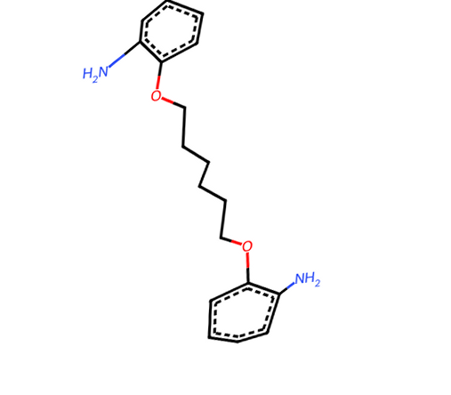 Nc1ccccc1OCCCCCCOc1ccccc1N